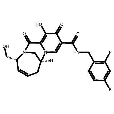 O=C(NCc1ccc(F)cc1F)c1cn2c(c(O)c1=O)C(=O)N1C[C@@H]2CC=C[C@@H]1CO